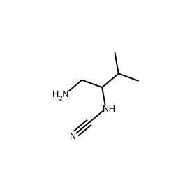 CC(C)C(CN)NC#N